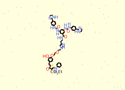 CCOC(=O)C1=C(Nc2ccccc2)S/C(=C\c2ccc(OCCOCCn3cc(CCNC(=O)c4cc(NC(=O)Nc5ccc(C6=NCCN6)cc5)cc(NC(=O)Nc5ccc(C6=NCCN6)cc5)c4)nn3)c(O)c2)C1=O